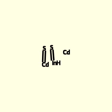 [Cd].[S]=[Cd].[S]=[InH]